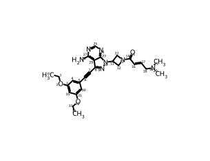 CCOc1cc(C#Cc2nn(C3CN(C(=O)C=CCN(C)C)C3)c3ncnc(N)c23)cc(OCC)c1